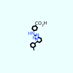 Cc1cccc(-c2cccc3nc(Nc4ccc(C(=O)O)cc4)nn23)c1